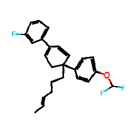 CC=CCCCC1(c2ccc(OC(F)F)cc2)C=CC(c2cccc(F)c2)=CC1